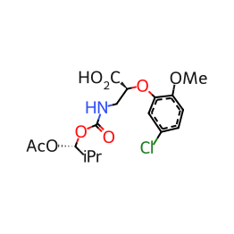 COc1ccc(Cl)cc1O[C@@H](CNC(=O)O[C@@H](OC(C)=O)C(C)C)C(=O)O